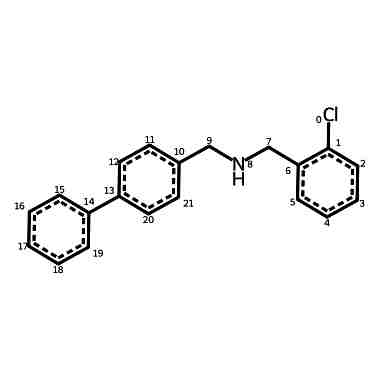 Clc1ccccc1CNCc1ccc(-c2ccccc2)cc1